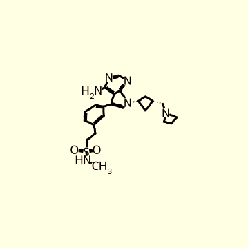 CNS(=O)(=O)CCc1cccc(-c2cn([C@H]3C[C@@H](CN4CCC4)C3)c3ncnc(N)c23)c1